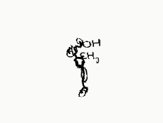 Cc1cc(OCC2CCOC2)ccc1C1CN(CCC(=O)O)CCO1